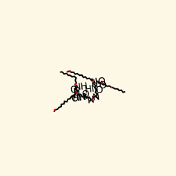 CCCCCCCCCCCCCCN(CCNC(=O)CCN(C)CCN(C)CCC(=O)NCCN(CC(=O)NCCCCCCCCCCCC)CC(O)CCCCCCCCCCCC)CCC(=O)OCCCCCCCCCCC